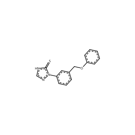 S=c1[nH]cnn1-c1cccc(COc2ccccc2)c1